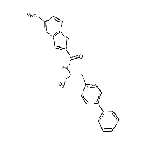 COc1ccc2oc(C(=O)NC(Cc3ccc(-c4ccccc4)cc3)C(=O)O)cc2c1